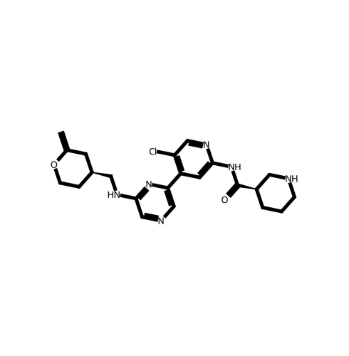 C=C1C[C@@H](CNc2cncc(-c3cc(NC(=O)[C@@H]4CCCNC4)ncc3Cl)n2)CCO1